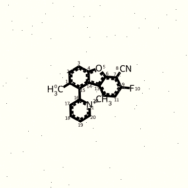 Cc1ccc2oc3c(C#N)c(F)ccc3c2c1-c1cccc[n+]1C